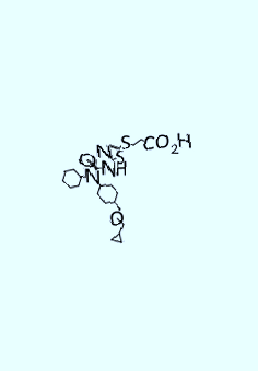 O=C(O)CCSc1cnc(NC(=O)N(C2CCCCC2)[C@H]2CC[C@H](COCC3CC3)CC2)s1